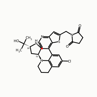 CC(C)(O)[C@H]1C[C@H](N2CCCc3cc(Cl)cc(-c4ccnc5cc(CN6C(=O)CCC6=O)sc45)c32)CN1